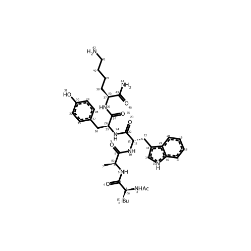 CC[C@H](C)[C@H](NC(C)=O)C(=O)N[C@@H](C)C(=O)N[C@@H](Cc1c[nH]c2ccccc12)C(=O)N[C@@H](Cc1ccc(O)cc1)C(=O)N[C@@H](CCCCN)C(N)=O